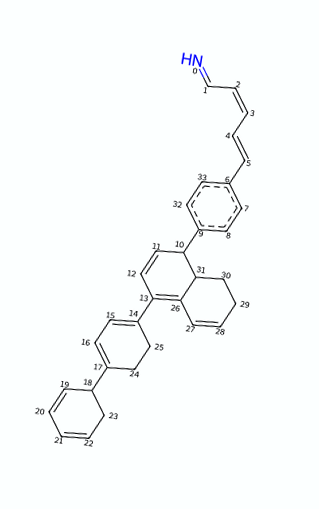 N=C/C=C\C=C\c1ccc(C2C=CC(C3=CC=C(C4C=CC=CC4)CC3)=C3C=CCCC32)cc1